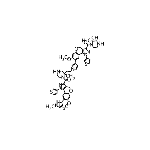 COc1cc2c(cc1-c1ccn(CCC3(C)CNCCN3C(=O)c3nn(-c4ccsc4)c4c3COc3cc(OC)c(-c5ccn(C)n5)cc3-4)c1)-c1c(c(C(=O)N3CCNCC3(C)C)nn1-c1ccsc1)CO2